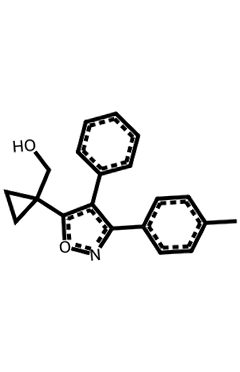 Cc1ccc(-c2noc(C3(CO)CC3)c2-c2ccccc2)cc1